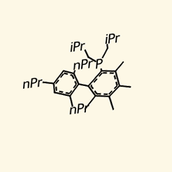 CCCc1cc(CCC)c(-c2c(C)c(C)c(C)c(C)c2P(CC(C)C)CC(C)C)c(CCC)c1